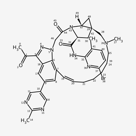 CC(=O)c1nn2c3c(cc(-c4cnc(C)nc4)cc13)C=CCCCCCN(C)C[C@@]13C[C@@H](C(=O)Nc4nc(Br)ccc4C)N(C(=O)C2)[C@@H]1C3